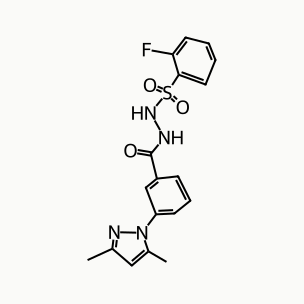 Cc1cc(C)n(-c2cccc(C(=O)NNS(=O)(=O)c3ccccc3F)c2)n1